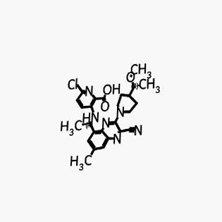 CO[C@H](C)C1CCN(c2nc3c([C@@H](C)Nc4ccc(Cl)nc4C(=O)O)cc(C)cc3nc2C#N)CC1